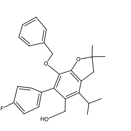 CC(C)c1c2c(c(OCc3ccccc3)c(-c3ccc(F)cc3)c1CO)OC(C)(C)C2